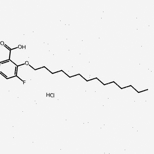 CCCCCCCCCCCCCCOc1c(F)cccc1C(=O)O.Cl